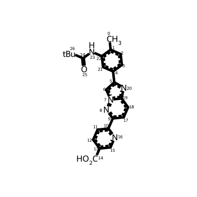 Cc1ccc(-c2cn3nc(-c4ccc(C(=O)O)cn4)ccc3n2)cc1NC(=O)C(C)(C)C